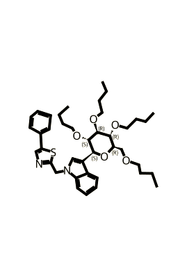 CCCCOC[C@H]1O[C@@H](c2cn(Cc3ncc(-c4ccccc4)s3)c3ccccc23)[C@H](OCCCC)[C@@H](OCCCC)[C@@H]1OCCCC